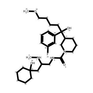 CNC(CNC(=O)N1CCCC(C(O)(CCCCOC)c2cccc(F)c2)C1)CC1(O)CCCCC1